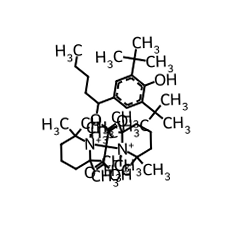 CCCCC(OC(=O)C(C(=O)O)([N+]1(C)C(C)(C)CCCC1(C)C)[N+]1(C)C(C)(C)CCCC1(C)C)c1cc(C(C)(C)C)c(O)c(C(C)(C)C)c1